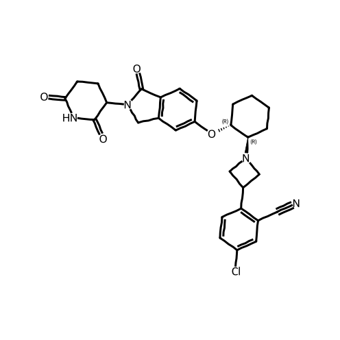 N#Cc1cc(Cl)ccc1C1CN([C@@H]2CCCC[C@H]2Oc2ccc3c(c2)CN(C2CCC(=O)NC2=O)C3=O)C1